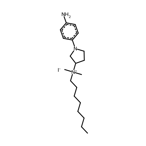 CCCCCCCC[N+](C)(C)C1CCN(c2ccc(N)cc2)C1.[I-]